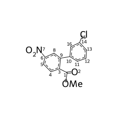 COC(=O)c1ccc([N+](=O)[O-])cc1-c1cccc(Cl)c1